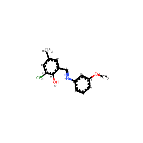 COc1cccc(/N=C/c2cc(C)cc(Cl)c2O)c1